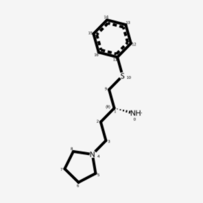 [NH][C@H](CCN1CCCC1)CSc1ccccc1